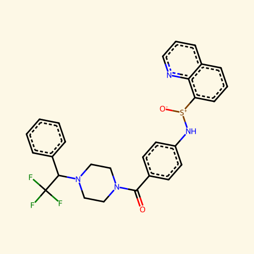 O=C(c1ccc(N[S+]([O-])c2cccc3cccnc23)cc1)N1CCN(C(c2ccccc2)C(F)(F)F)CC1